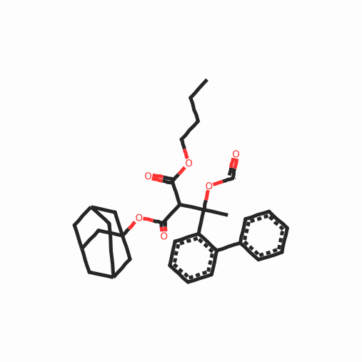 CCCCOC(=O)C(C(=O)OC12CC3CC(CC(C3)C1)C2)C(C)(O[C]=O)c1ccccc1-c1ccccc1